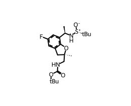 C[C@@H](N[S@+]([O-])C(C)(C)C)c1cc(F)cc2c1O[C@@](C)(CNC(=O)OC(C)(C)C)C2